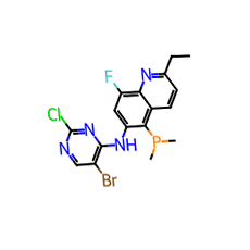 CCc1ccc2c(P(C)C)c(Nc3nc(Cl)ncc3Br)cc(F)c2n1